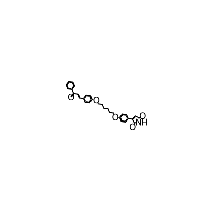 O=C1C=C(c2ccc(OCCCCCCOc3ccc(C=CC(=O)c4ccccc4)cc3)cc2)C(=O)N1